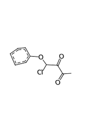 CC(=O)C(=O)C(Cl)Oc1ccccc1